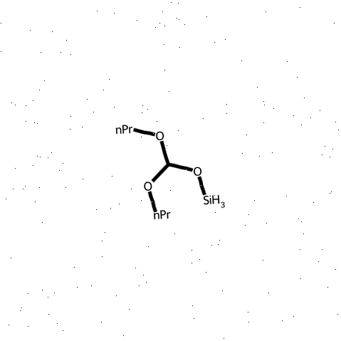 CCCOC(O[SiH3])OCCC